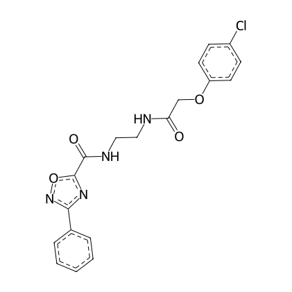 O=C(COc1ccc(Cl)cc1)NCCNC(=O)c1nc(-c2ccccc2)no1